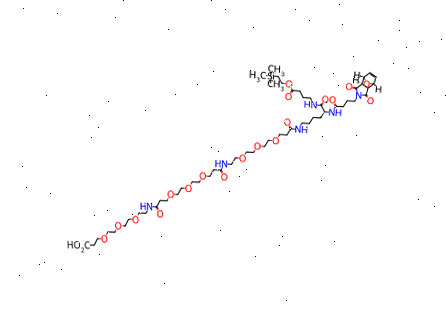 C[Si](C)(C)CCOC(=O)CCCNC(=O)[C@H](CCCCNC(=O)CCOCCOCCOCCNC(=O)CCOCCOCCOCCC(=O)NCCOCCOCCOCCC(=O)O)NC(=O)CCCN1C(=O)C2[C@@H](C1=O)[C@@H]1C=C[C@H]2O1